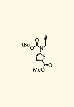 C#CCN(C(=O)OC(C)(C)C)c1ccc(C(=O)OC)s1